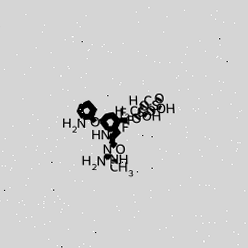 CNC(N)=NC(=O)c1cc2c(C(F)(F)F)ccc(Oc3ccccc3N)c2[nH]1.CS(=O)(=O)O.CS(=O)(=O)O